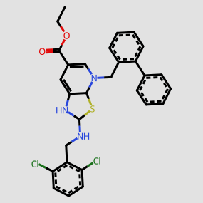 CCOC(=O)C1=CN(Cc2ccccc2-c2ccccc2)C2SC(NCc3c(Cl)cccc3Cl)NC2=C1